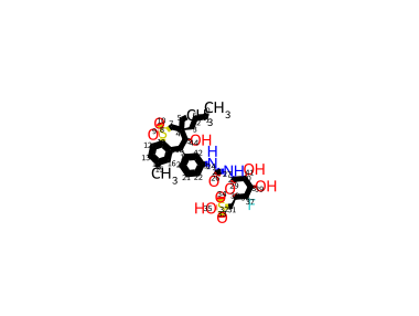 CCCC[C@]1(CC)CS(=O)(=O)c2ccc(C)cc2[C@@H](c2cccc(NC(=O)N[C@@H]3O[C@H](CS(=O)(=O)O)[C@@H](F)[C@H](O)[C@H]3O)c2)[C@H]1O